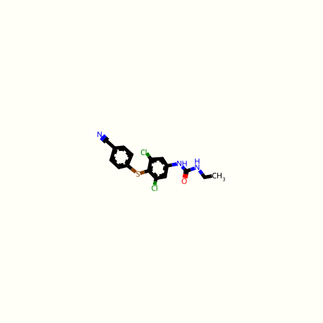 CCNC(=O)Nc1cc(Cl)c(Sc2ccc(C#N)cc2)c(Cl)c1